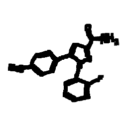 CSc1ccc(-c2cc(C(N)=O)nn2-c2ccccc2F)cc1